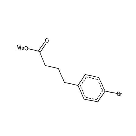 COC(=O)CCCc1ccc(Br)cc1